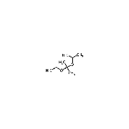 CCOC(C)(C)OC(C)C